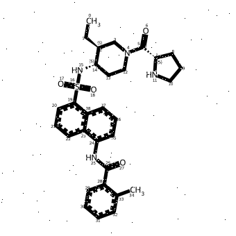 CC[C@H]1CN(C(=O)[C@@H]2CCCN2)CC[C@@H]1NS(=O)(=O)c1cccc2c(NC(=O)c3ccccc3C)cccc12